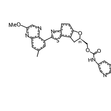 COc1cnc2c(-c3nc4ccc5c(c4s3)C[C@H](COC(=O)Nc3cnc(C)nc3)O5)cc(C)cc2n1